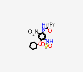 CCCC(=O)Nc1cc(NS(C)(=O)=O)c(OC2CCCCC2)cc1[N+](=O)[O-]